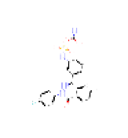 NC(=O)OS(=O)(=O)Nc1cccc(-c2nn(-c3ccc(F)cc3)c(=O)c3ccccc23)c1